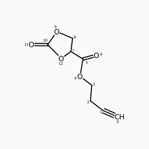 C#CCCOC(=O)C1COC(=O)O1